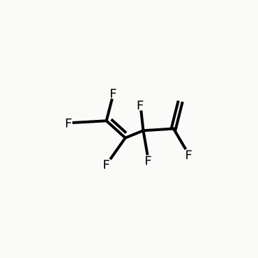 C=C(F)C(F)(F)C(F)=C(F)F